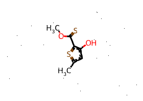 COC(=S)c1sc(C)cc1O